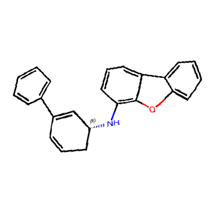 C1=CC(c2ccccc2)=C[C@H](Nc2cccc3c2oc2ccccc23)C1